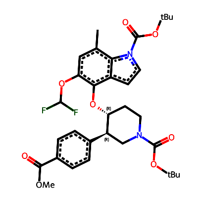 COC(=O)c1ccc([C@@H]2CN(C(=O)OC(C)(C)C)CC[C@H]2Oc2c(OC(F)F)cc(C)c3c2ccn3C(=O)OC(C)(C)C)cc1